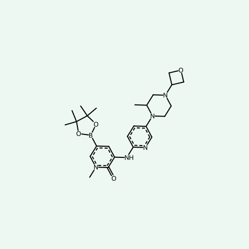 CC1CN(C2COC2)CCN1c1ccc(Nc2cc(B3OC(C)(C)C(C)(C)O3)cn(C)c2=O)nc1